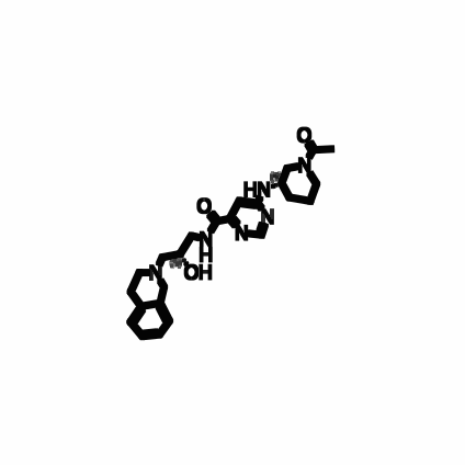 CC(=O)N1CCC[C@H](Nc2cc(C(=O)NC[C@H](O)CN3CCc4ccccc4C3)ncn2)C1